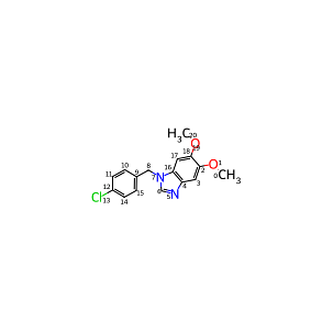 COc1cc2ncn(Cc3ccc(Cl)cc3)c2cc1OC